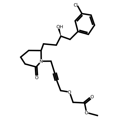 COC(=O)COCC#CCN1C(=O)CCCC1CC[C@@H](O)Cc1cccc(Cl)c1